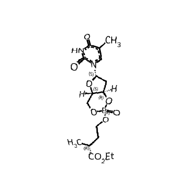 CCOC(=O)[C@H](C)CCO[P@]1(=O)OC[C@@H]2O[C@H](n3cc(C)c(=O)[nH]c3=O)C[C@H]2O1